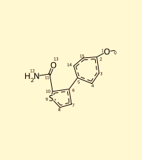 COc1ccc(-c2ccsc2C(N)=O)cc1